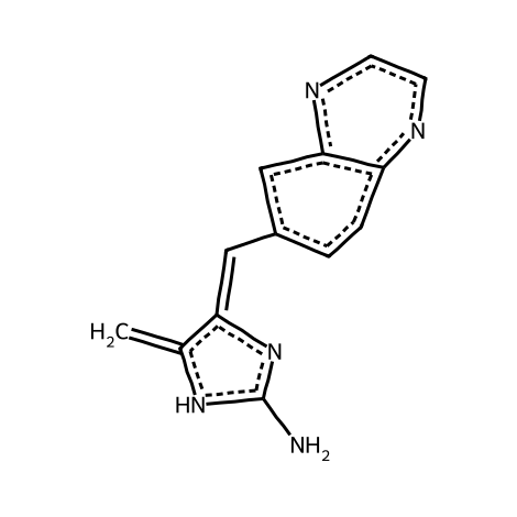 C=c1[nH]c(N)n/c1=C\c1ccc2nccnc2c1